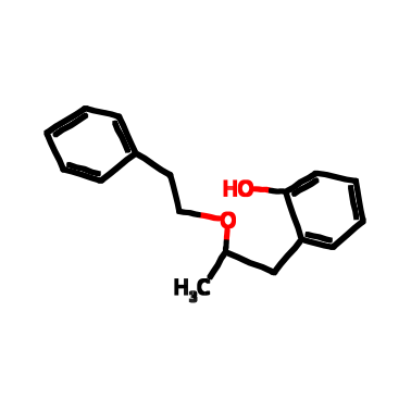 CC(Cc1ccccc1O)OCCc1ccccc1